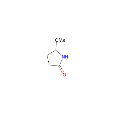 COC1CCC(=O)N1